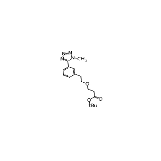 Cn1nnnc1-c1cccc(CCOCCC(=O)OC(C)(C)C)c1